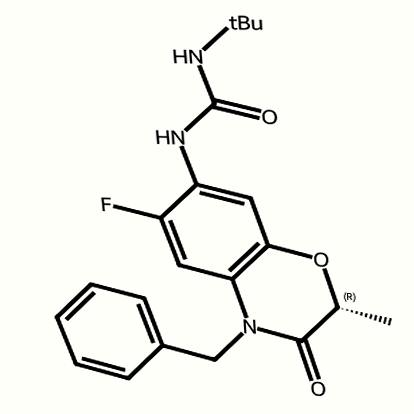 C[C@H]1Oc2cc(NC(=O)NC(C)(C)C)c(F)cc2N(Cc2ccccc2)C1=O